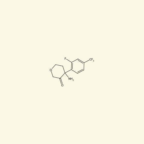 NC1(c2ccc(C(F)(F)F)cc2F)CCOCC1=O